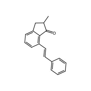 CC1Cc2cccc(/C=C/c3ccccc3)c2C1=O